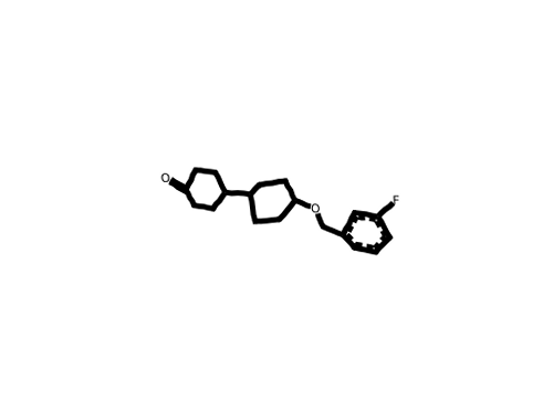 O=C1CCC(C2CCC(OCc3cccc(F)c3)CC2)CC1